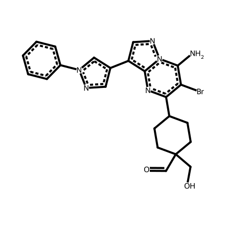 Nc1c(Br)c(C2CCC(C=O)(CO)CC2)nc2c(-c3cnn(-c4ccccc4)c3)cnn12